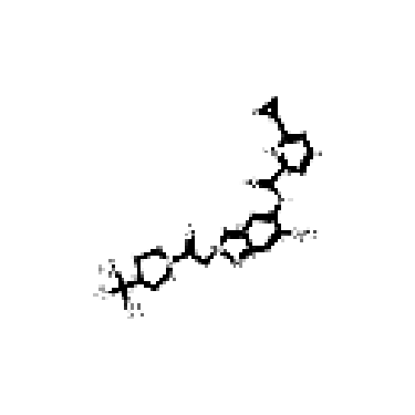 COc1cc2nn(CC(=O)N3CCC(C(C)(C)O)CC3)cc2cc1NC(=O)c1cccc(C2CC2)n1